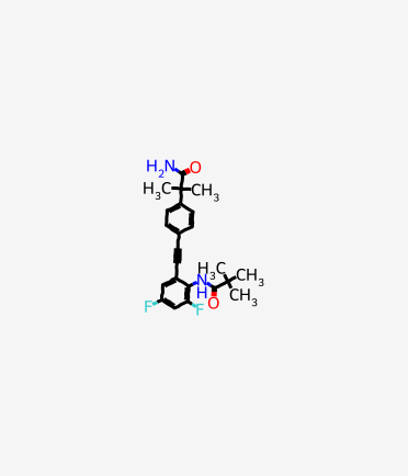 CC(C)(C)C(=O)Nc1c(F)cc(F)cc1C#Cc1ccc(C(C)(C)C(N)=O)cc1